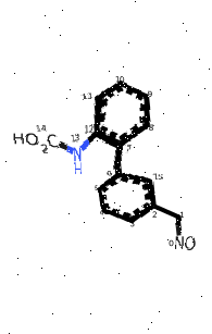 O=NCc1cccc(-c2ccccc2NC(=O)O)c1